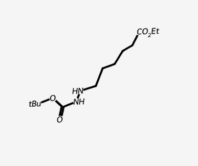 CCOC(=O)CCCCCNNC(=O)OC(C)(C)C